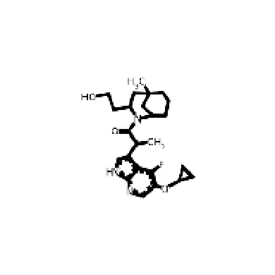 CC(C(=O)N1C(CCO)CC2(C)CCCC1C2)c1c[nH]c2ncc(OC3CC3)c(F)c12